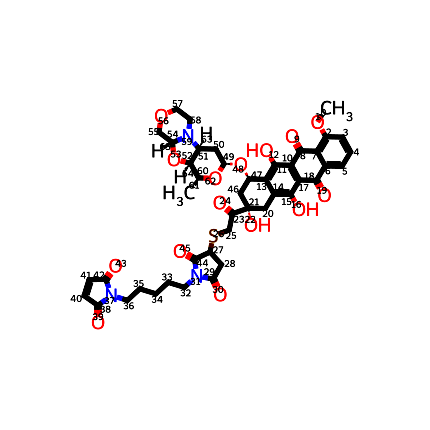 COc1cccc2c1C(=O)c1c(O)c3c(c(O)c1C2=O)C[C@@](O)(C(=O)CSC1CC(=O)N(CCCCCN2C(=O)C=CC2=O)C1=O)C[C@@H]3O[C@H]1C[C@H]2[C@H](O[C@@H]3COCCN32)[C@H](C)O1